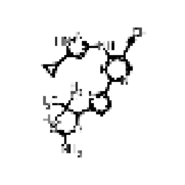 C#Cc1cnc(-c2ccc(C(OC(N)=O)C(C)(C)C)s2)nc1Nc1cc(C2CC2)[nH]n1